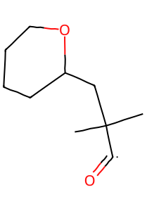 CC(C)([C]=O)CC1CCCCO1